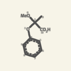 COC(C)(Oc1ccccc1)C(=O)O